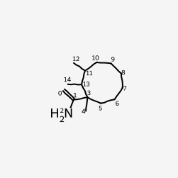 C=C(N)C1(C)CCCCCCC(C)C1C